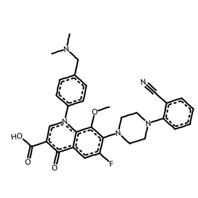 COc1c(N2CCN(c3ccccc3C#N)CC2)c(F)cc2c(=O)c(C(=O)O)cn(-c3ccc(CN(C)C)cc3)c12